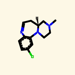 CN1CCN2c3cc(Cl)ccc3N=CC[C@H]2C1